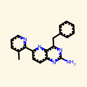 Cc1cccnc1-c1ccc2nc(N)nc(Cc3ccccc3)c2n1